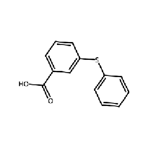 O=C(O)c1cccc(Sc2ccccc2)c1